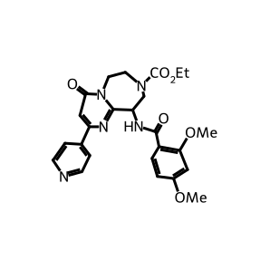 CCOC(=O)N1CCn2c(nc(-c3ccncc3)cc2=O)C(NC(=O)c2ccc(OC)cc2OC)C1